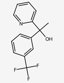 CC(O)(c1cccc(C(F)(F)F)c1)c1ccccn1